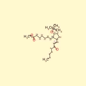 CCCCCC(=O)/C=C/C1CCC(O[Si](C)(C)C)C1CCCCCCC(=O)OC